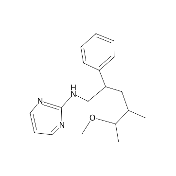 COC(C)C(C)CC(CNc1ncccn1)c1ccccc1